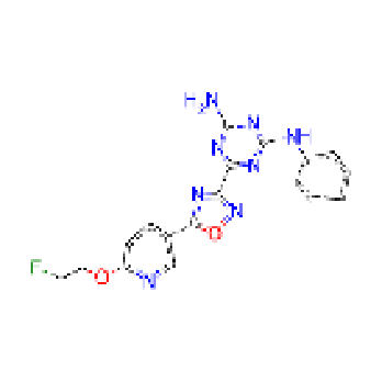 Nc1nc(Nc2ccccc2)nc(-c2noc(-c3ccc(OCCF)nc3)n2)n1